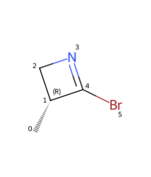 C[C@@H]1CN=C1Br